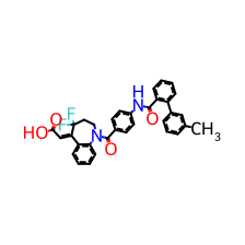 Cc1cccc(-c2ccccc2C(=O)Nc2ccc(C(=O)N3CCC(F)(F)C(=CC(=O)O)c4ccccc43)cc2)c1